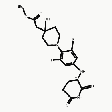 CC(C)(C)OC(=O)CC1(O)CCN(c2c(F)cc(N[C@@H]3CCC(=O)NC3=O)cc2F)CC1